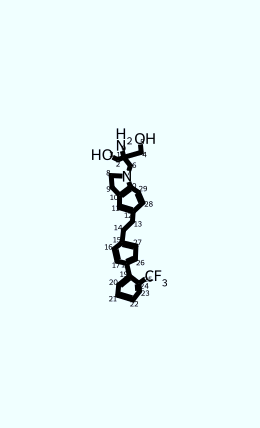 NC(CO)(CO)CN1CCc2cc(CCc3ccc(-c4ccccc4C(F)(F)F)cc3)ccc21